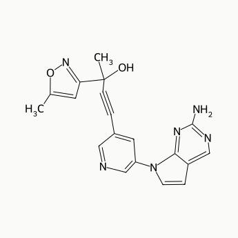 Cc1cc(C(C)(O)C#Cc2cncc(-n3ccc4cnc(N)nc43)c2)no1